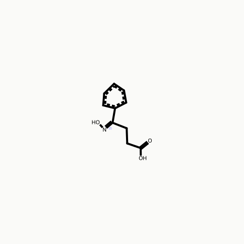 O=C(O)CC/C(=N/O)c1ccccc1